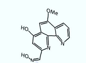 COc1cc2c(O)cc(/C=N\O)nc2c2ncccc12